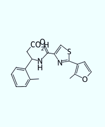 Cc1ccccc1C(CC(=O)O)NC(=O)c1csc(-c2ccoc2C)n1